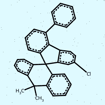 CC1(C)c2ccccc2C2(c3cc(Cl)ccc3-c3c(-c4ccccc4)cccc32)c2ccccc21